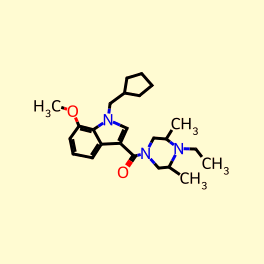 CCN1C(C)CN(C(=O)c2cn(CC3CCCC3)c3c(OC)cccc23)CC1C